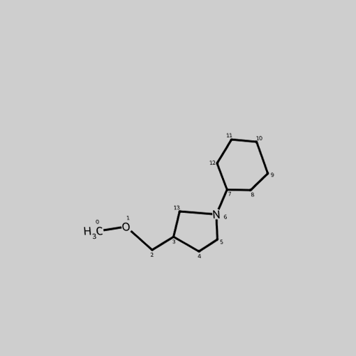 COCC1CCN(C2CCCCC2)C1